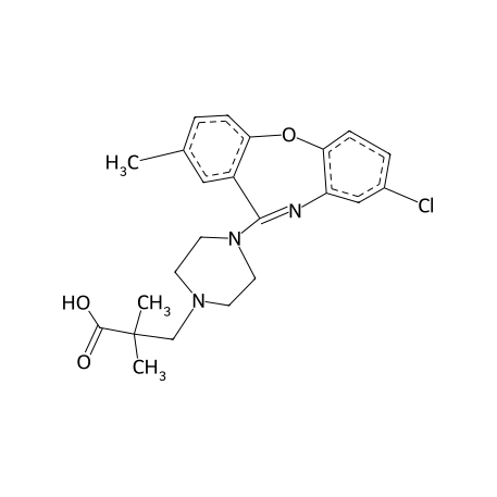 Cc1ccc2c(c1)C(N1CCN(CC(C)(C)C(=O)O)CC1)=Nc1cc(Cl)ccc1O2